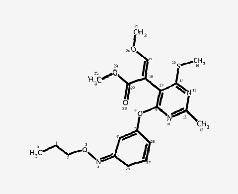 CCCON=C1C=C(Oc2nc(C)nc(SC)c2C(=COC)C(=O)OC)C=CC1